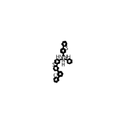 c1ccc(C2NC(c3ccc4c(c3)sc3ccccc34)NC(c3ccc4sc5ccc(-c6cccc7c6oc6ccccc67)cc5c4c3)N2)cc1